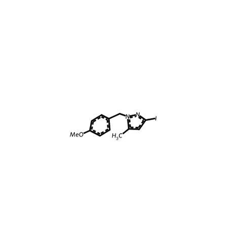 COc1ccc(Cn2nc(I)cc2C)cc1